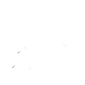 C=C[C@H]1C[N@]2C[C@H]1C[C@H]2[C@H](O)c1ccnc2ccc(OC)cc12